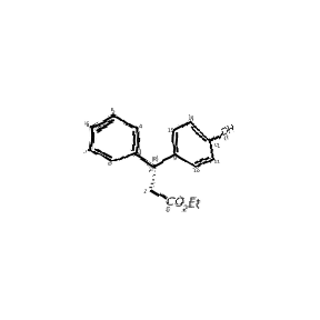 CCOC(=O)C[C@H](c1ccccc1)c1ccc(O)cc1